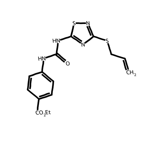 C=CCSc1nsc(NC(=O)Nc2ccc(C(=O)OCC)cc2)n1